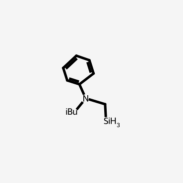 CCC(C)N(C[SiH3])c1ccccc1